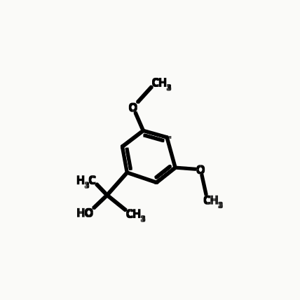 COc1[c]c(OC)cc(C(C)(C)O)c1